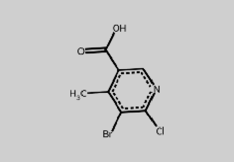 Cc1c(C(=O)O)cnc(Cl)c1Br